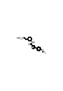 O=C(O)CCC1CCCC(NC(=O)c2cc(-c3ccc(OC(F)(F)F)cc3)cs2)C1